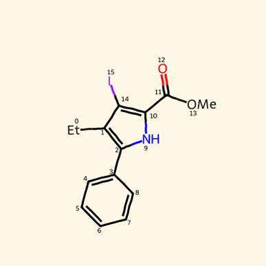 CCc1c(-c2ccccc2)[nH]c(C(=O)OC)c1I